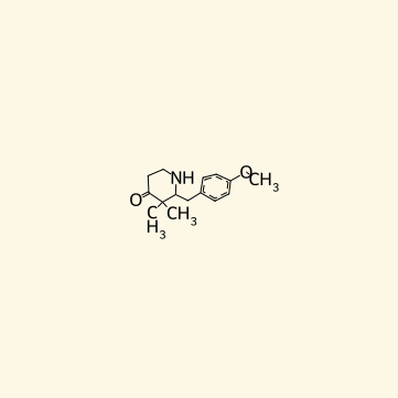 COc1ccc(CC2NCCC(=O)C2(C)C)cc1